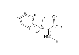 CN[C@H](C(C)=O)C(C)(C)c1ccccc1